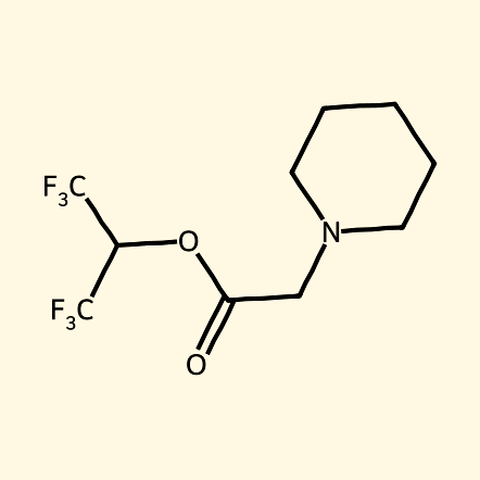 O=C(CN1CCCCC1)OC(C(F)(F)F)C(F)(F)F